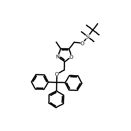 Cc1nc(COC(c2ccccc2)(c2ccccc2)c2ccccc2)oc1CO[Si](C)(C)C(C)(C)C